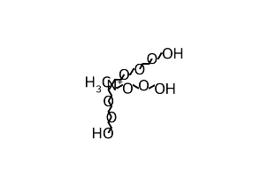 C[N+](CCOCCOCCO)(CCOCCOCCO)CCOCCOCCOCCO